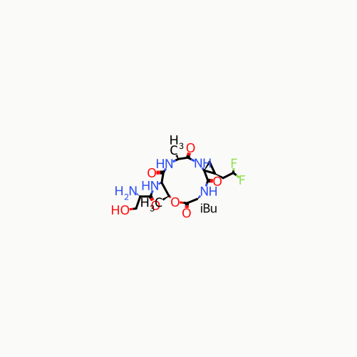 CC[C@H](C)[C@@H]1NC(=O)[C@]2(C[C@H]2CC(F)F)NC(=O)[C@H](C)NC(=O)[C@H](NC(=O)[C@@H](N)CO)[C@H](C)OC1=O